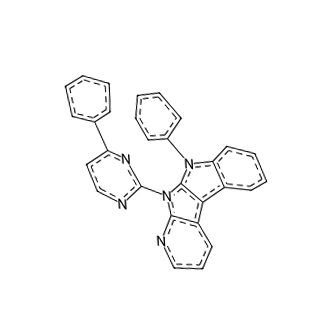 c1ccc(-c2ccnc(-n3c4ncccc4c4c5ccccc5n(-c5ccccc5)c43)n2)cc1